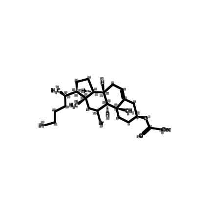 CCCCCCCCCCC(=O)O[C@H]1CC[C@@]2(C)C(=CC[C@H]3[C@@H]4CC[C@H]([C@H](C)CCCC(C)C)[C@@]4(C)CC(Br)[C@@H]32)C1